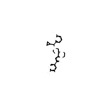 Nc1ncc(-c2cc3n(n2)CCO[C@@]32CCN(C(c3cccc(O)n3)C3CC3)C2)cc1C(F)(F)F